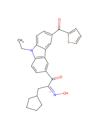 CCn1c2ccc(C(=O)/C(CC3CCCC3)=N\O)cc2c2cc(C(=O)c3cccs3)ccc21